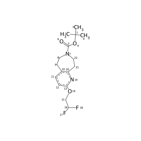 CC(C)(C)OC(=O)N1CCc2ccc(OCC(F)F)nc2CC1